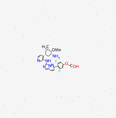 CO[C@@H]1[C@H](N)C[C@H](c2ccncc2Nc2ncc3ccc(-c4c(F)cc(OCCO)cc4F)nn23)C[C@@H]1C